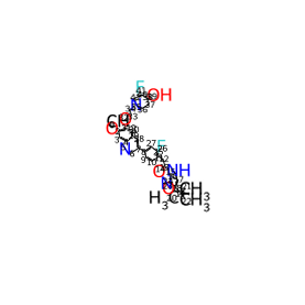 COc1cc2ncc(-c3ccc(CC(=O)Nc4cc(C(C)(C)C)on4)c(F)c3)cc2cc1OCCN1CC[C@H](O)[C@@H](F)C1